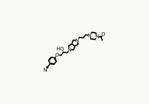 CC(=O)N1CCN(CCCN2CC3CN(C[C@@H](O)COc4ccc(C#N)cc4)CC3C2)CC1